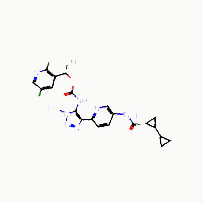 C[C@@H](OC(=O)Nc1c(-c2ccc(NC(=O)[C@H]3CC3C3CC3)cn2)nnn1C)c1cc(F)cnc1F